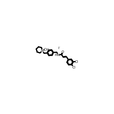 C[N+]1(Cc2ccc(CNC(=O)C=Cc3ccc(Cl)c(Cl)c3)cc2)CCCCC1.[I-]